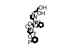 O=C(Nc1ccn(C[C@@H](O)CO)n1)[C@H](CC1(F)CCCC1)N1CC(Oc2c(F)cccc2F)=CC1=O